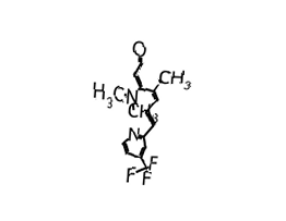 CC(=C/C=C/c1cc(C(F)(F)F)ccn1)/C(=C\C=O)N(C)C